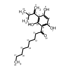 C=C(c1c(O)cc(O)c(C(=O)CCCCCCCC)c1O)C(C)C